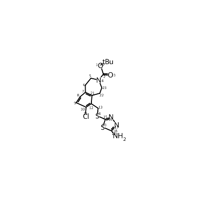 CC(C)(C)OC(=O)N1CCc2ccc(Cl)c(CSc3nnc(N)s3)c2CC1